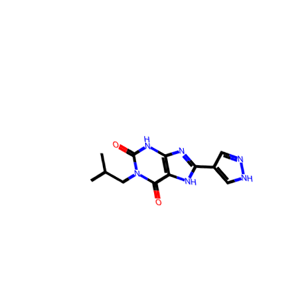 CC(C)Cn1c(=O)[nH]c2nc(-c3cn[nH]c3)[nH]c2c1=O